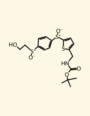 CC(C)(C)OC(=O)NCc1ccc([S+]([O-])c2ccc([S+]([O-])CCO)cc2)s1